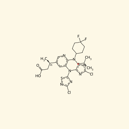 CC(C)CN(c1ncc([C@H](C)CC(=O)O)cc1N(c1nc(Cl)ns1)c1nc(Cl)ns1)C1CCC(F)(F)CC1